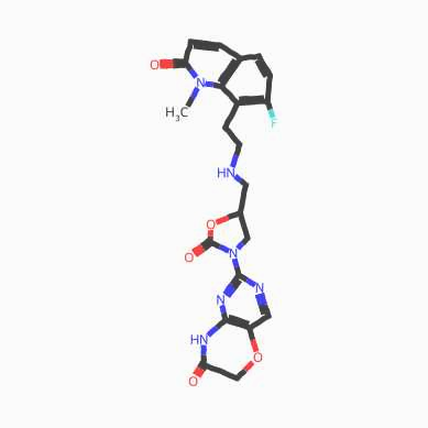 Cn1c(=O)ccc2ccc(F)c(CCNCC3CN(c4ncc5c(n4)NC(=O)CO5)C(=O)O3)c21